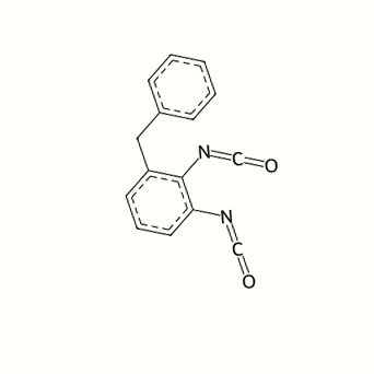 O=C=Nc1cccc(Cc2ccccc2)c1N=C=O